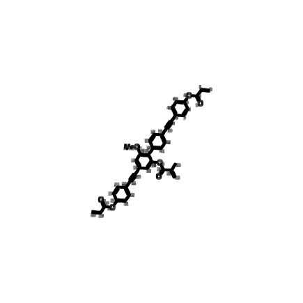 C=CC(=O)Oc1ccc(C#Cc2ccc(-c3c(OC)cc(C#Cc4ccc(OC(=O)C=C)cc4)cc3OC(=O)C(=C)C)cc2)cc1